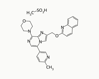 CS(=O)(=O)O.Cc1ccc(-c2cnc(N3CCOCC3)c3nc(COc4ccc5ccccc5n4)cn23)cn1